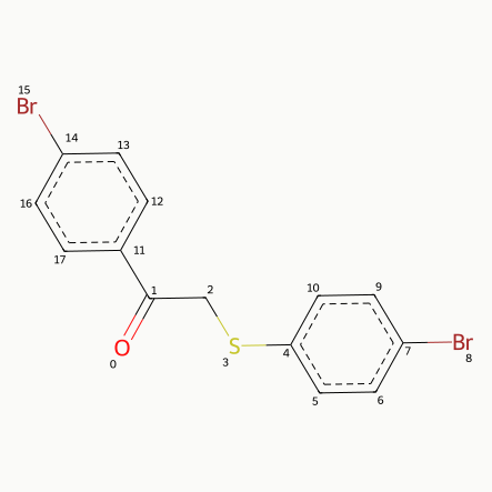 O=C(CSc1ccc(Br)cc1)c1ccc(Br)cc1